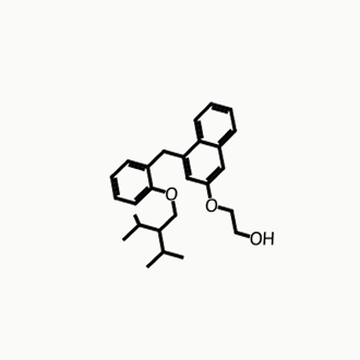 CC(C)C(COc1ccccc1Cc1cc(OCCO)cc2ccccc12)C(C)C